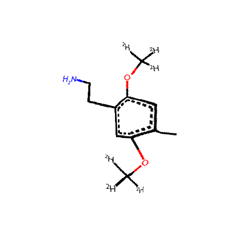 [2H]C([2H])([2H])Oc1cc(CCN)c(OC([2H])([2H])[2H])cc1C